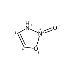 O=[n+]1[nH]cco1